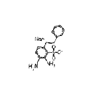 Nc1ccc(C=Cc2ccccc2)c(S(=O)(=O)[O-])c1N.[Na+]